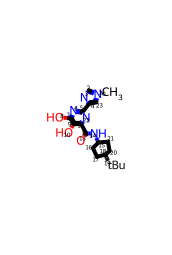 Cn1cnc(-c2nc(O)c(O)c(C(=O)NC3CCC(C(C)(C)C)CC3)n2)c1